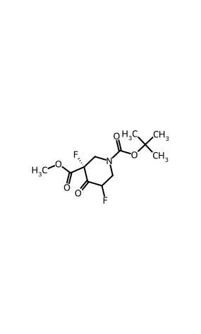 COC(=O)[C@@]1(F)CN(C(=O)OC(C)(C)C)CC(F)C1=O